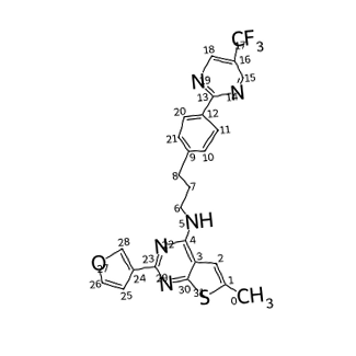 Cc1cc2c(NCCCc3ccc(-c4ncc(C(F)(F)F)cn4)cc3)nc(-c3ccoc3)nc2s1